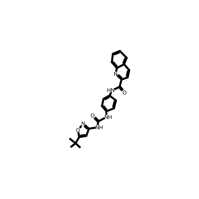 CC(C)(C)c1cc(NC(=O)Nc2ccc(NC(=O)c3ccc4ccccc4n3)cc2)no1